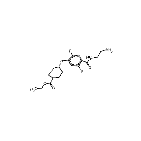 CCOC(=O)[C@H]1CC[C@@H](Oc2cc(F)c(C(=O)NCCN)cc2F)CC1